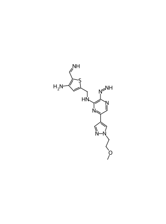 COCCn1cc(-c2cnc(N=N)c(NCc3cc(N)c(C=N)s3)n2)cn1